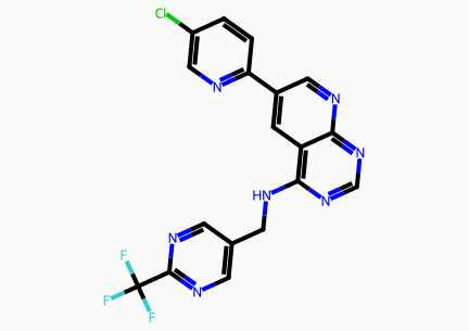 FC(F)(F)c1ncc(CNc2ncnc3ncc(-c4ccc(Cl)cn4)cc23)cn1